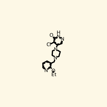 CCOc1ncccc1CN1CCN(c2cn[nH]c(=O)c2Cl)CC1